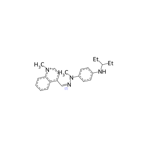 CCC(CC)Nc1ccc(N(C)/N=C\c2cc[n+](C)c3ccccc23)cc1